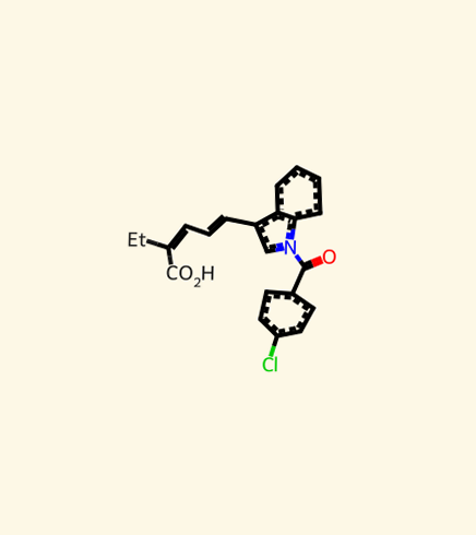 CCC(=CC=Cc1cn(C(=O)c2ccc(Cl)cc2)c2ccccc12)C(=O)O